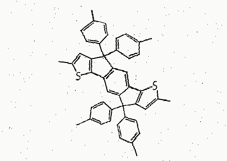 Cc1ccc(C2(c3ccc(C)cc3)c3cc4c(cc3-c3sc(C)cc32)C(c2ccc(C)cc2)(c2ccc(C)cc2)c2cc(C)sc2-4)cc1